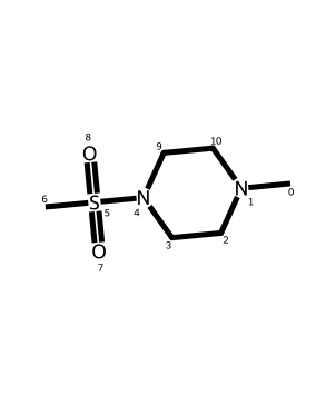 CN1CCN(S(C)(=O)=O)CC1